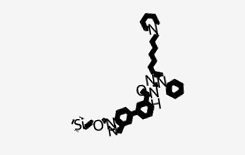 C[Si](C)(C)CCOCn1ncc2cc(-c3cccc(C(=O)Nc4nc(CCCCCCN5CCCCC5)cn4-c4ccccc4)c3)ccc21